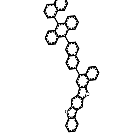 c1ccc2c(-c3c4ccccc4c(-c4ccc5cc(-c6cc7c8cc9oc%10ccccc%10c9cc8oc7c7ccccc67)ccc5c4)c4ccccc34)cccc2c1